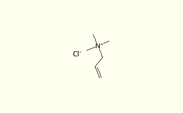 C=CC[N+](C)(C)C.[Cl-]